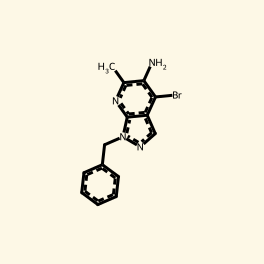 Cc1nc2c(cnn2Cc2ccccc2)c(Br)c1N